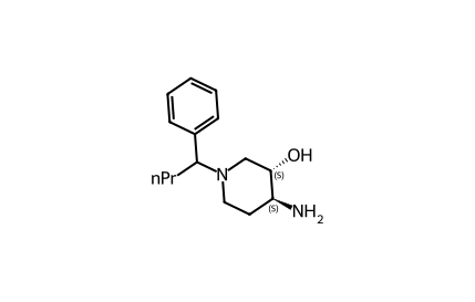 CCCC(c1ccccc1)N1CC[C@H](N)[C@@H](O)C1